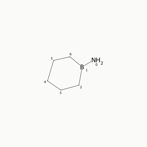 NB1CCCCC1